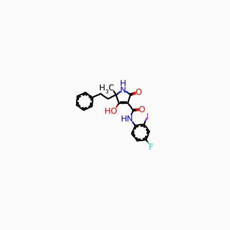 CC1(CCc2ccccc2)NC(=O)C(C(=O)Nc2ccc(F)cc2I)=C1O